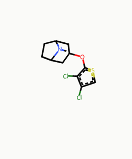 CN1C2CCC1CC(Oc1scc(Cl)c1Cl)C2